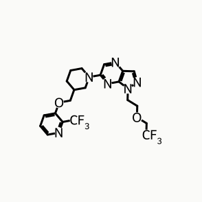 FC(F)(F)COCCn1ncc2ncc(N3CCCC(COc4cccnc4C(F)(F)F)C3)nc21